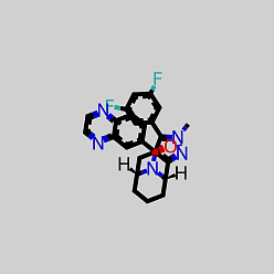 Cn1nc2c(c1-c1cc(F)cc(F)c1)C[C@H]1CCC[C@@H]2N1C(=O)c1ccc2nccnc2c1